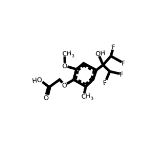 COc1cc(C(O)(C(F)F)C(F)F)cc(C)c1OCC(=O)O